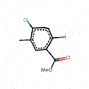 COC(=O)c1cc(C)c(Cl)cc1I